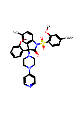 CCOc1ccccc1C1(N2CCN(c3ccncc3)CC2)C(=O)N(S(=O)(=O)c2ccc(OC)cc2OCC)c2ccc(C#N)cc21